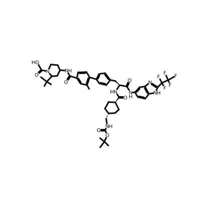 Cc1cc(C(=O)NC2CCN(C(=O)O)C(C(C)(C)C)C2)ccc1-c1ccc(C[C@H](NC(=O)[C@H]2CC[C@H](CNC(=O)OC(C)(C)C)CC2)C(=O)Nc2ccc3[nH]c(C(F)(F)C(F)(F)F)nc3c2)cc1